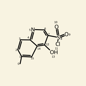 Cc1ccc2ncc(S(=O)(=O)Cl)c(O)c2c1